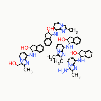 Cc1cn2cccc(NC3c4ccccc4CC3O)c2n1.Cc1nc2c(NC3c4ccccc4CC3O)cccn2c1C.Cc1nc2c(NC3c4ccccc4CC3O)cccn2c1CO.Cc1nc2c(NC3c4ccccc4CC3O)cccn2c1N